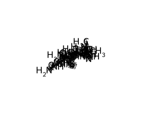 CCCC[C@H](NC(=O)[C@H](CC(C)C)NC(=O)[C@H](Cc1c[nH]cn1)NC(=O)CNC(=O)[C@@H](NC(=O)[C@H](C)NC(=O)[C@H](Cc1c[nH]c2ccccc12)NC(=O)[C@H](CCC(N)=O)NC(=O)CCNC(=O)CCNC(=O)CCN)C(C)C)C(N)=O